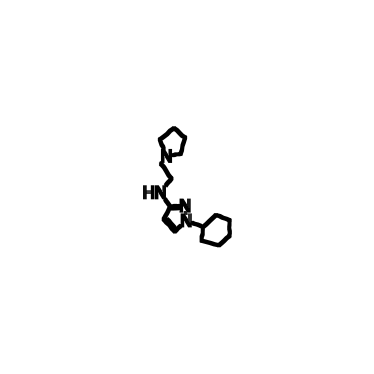 c1cn(C2CCCCC2)nc1NCCN1CCCC1